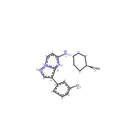 CO[C@H]1CC[C@H](Nc2ccn3ncc(-c4cccc(C(F)(F)F)c4)c3n2)CC1